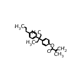 C=C(C)C(=O)Oc1ccc(C(CC)(CC)c2ccc(CCC)cc2)cc1